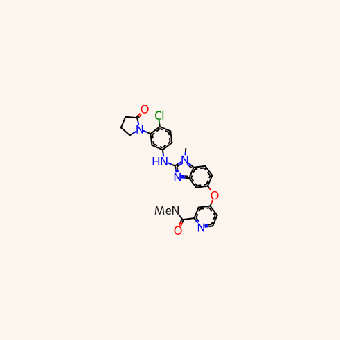 CNC(=O)c1cc(Oc2ccc3c(c2)nc(Nc2ccc(Cl)c(N4CCCC4=O)c2)n3C)ccn1